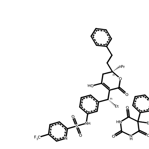 CCC1(c2ccccc2)C(=O)NC(=O)NC1=O.CCC[C@@]1(CCc2ccccc2)CC(O)=C([C@H](CC)c2cccc(NS(=O)(=O)c3ccc(C(F)(F)F)cn3)c2)C(=O)O1